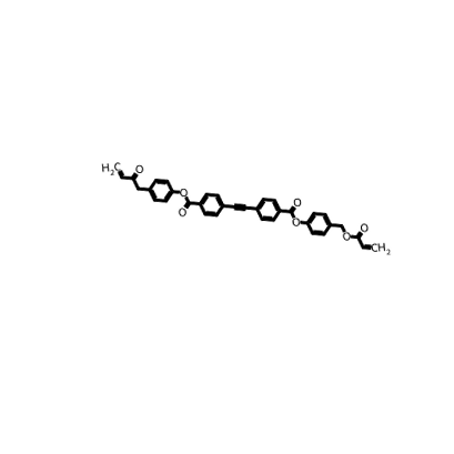 C=CC(=O)Cc1ccc(OC(=O)c2ccc(C#Cc3ccc(C(=O)Oc4ccc(COC(=O)C=C)cc4)cc3)cc2)cc1